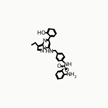 CCc1cnn2c(NCc3ccc(NS(=O)(=O)c4ccccc4N)cc3)cc(-c3ccccc3O)nc12